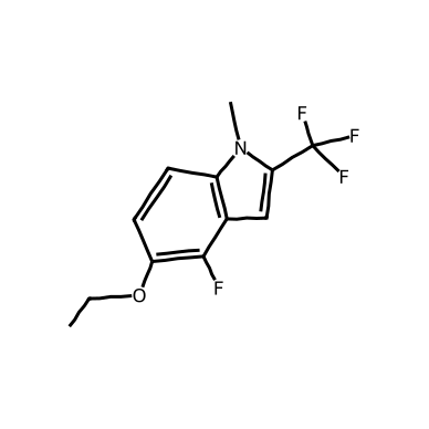 CCOc1ccc2c(cc(C(F)(F)F)n2C)c1F